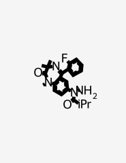 CC(C)C(=O)N(N)c1ccc2c(c1)C(c1ccccc1F)=NC(C)(C)C(=O)N2C